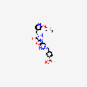 COc1cc(CNC(=O)c2nc3c(o2)N=CN(Cc2ccc(C(=O)O)cc2)C3)ccn1